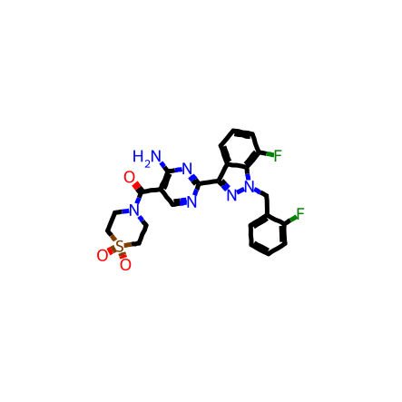 Nc1nc(-c2nn(Cc3ccccc3F)c3c(F)cccc23)ncc1C(=O)N1CCS(=O)(=O)CC1